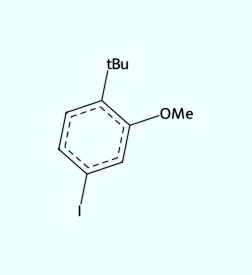 COc1cc(I)ccc1C(C)(C)C